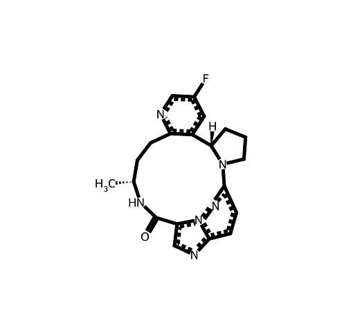 C[C@@H]1CCc2ncc(F)cc2[C@@H]2CCCN2c2ccc3ncc(n3n2)C(=O)N1